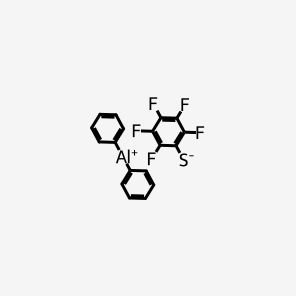 Fc1c(F)c(F)c([S-])c(F)c1F.c1cc[c]([Al+][c]2ccccc2)cc1